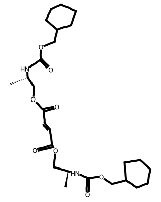 C[C@@H](COC(=O)/C=C/C(=O)OC[C@H](C)NC(=O)OCC1CCCCC1)NC(=O)OCC1CCCCC1